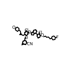 N#CC1=CC(COc2cc(O[C@H]3CCc4c(-c5cccc(OCCCCCC6CCC(F)CC6)c5Cl)cccc43)c(Cl)cc2CC2CC2CC2CCC(=O)CC2)=CC2CC2=C1